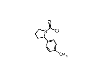 Cc1ccc(C2CCCN2C(=O)Cl)cc1